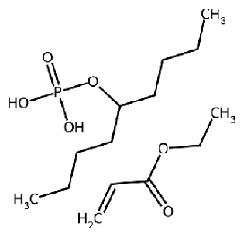 C=CC(=O)OCC.CCCCC(CCCC)OP(=O)(O)O